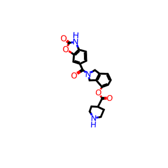 O=C(Oc1cccc2c1CN(C(=O)c1ccc3[nH]c(=O)oc3c1)C2)C1CCNCC1